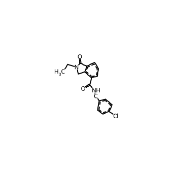 CCN1Cc2c(C(=O)NCc3ccc(Cl)cc3)cccc2C1=O